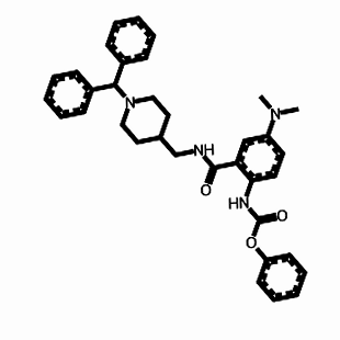 CN(C)c1ccc(NC(=O)Oc2ccccc2)c(C(=O)NCC2CCN(C(c3ccccc3)c3ccccc3)CC2)c1